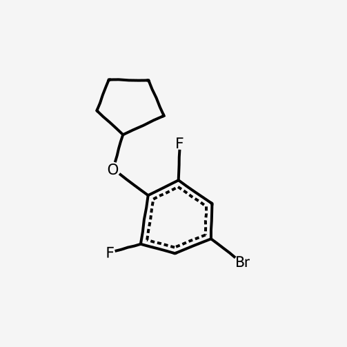 Fc1cc(Br)cc(F)c1OC1CCCC1